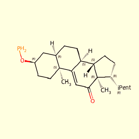 CCC[C@@H](C)[C@H]1CC[C@H]2[C@@H]3CC[C@@H]4C[C@H](OP)CC[C@]4(C)C3=CC(=O)[C@]12C